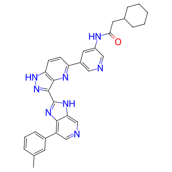 Cc1cccc(-c2cncc3[nH]c(-c4n[nH]c5ccc(-c6cncc(NC(=O)CC7CCCCC7)c6)nc45)nc23)c1